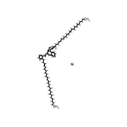 CCC#CC(C=Nc1ccccc1CCC=CCCCCCCCCCCCCCCCCCCCCCCC)=Nc1ccccc1CCC=CCCCCCCCCCCCCCCCCCCCCCCC.[Ni]